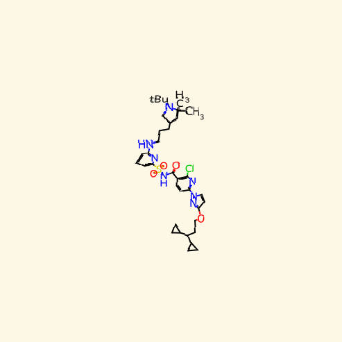 CC(C)(C)N1CC(CCCNc2cccc(S(=O)(=O)NC(=O)c3ccc(-n4ccc(OCCC(C5CC5)C5CC5)n4)nc3Cl)n2)CC1(C)C